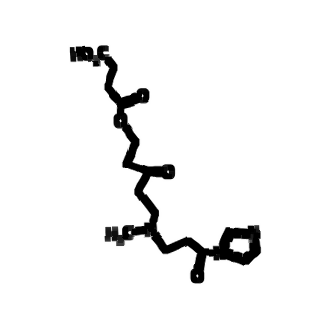 CN(CCC(=O)CCOC(=O)CCC(=O)O)CCC(=O)n1ccnc1